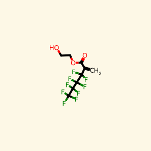 C=C(C(=O)OCCO)C(F)(F)C(F)(F)C(F)(F)C(F)(F)F